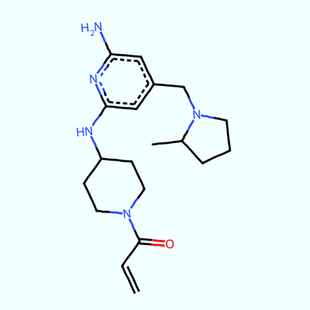 C=CC(=O)N1CCC(Nc2cc(CN3CCCC3C)cc(N)n2)CC1